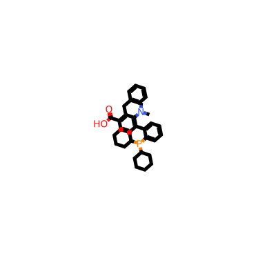 CN(C)c1c(-c2ccccc2P(C2CCCCC2)C2CCCCC2)ccc(C(=O)O)c1Cc1ccccc1